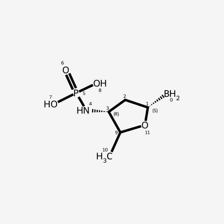 B[C@H]1C[C@@H](NP(=O)(O)O)C(C)O1